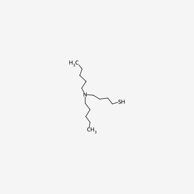 CCCCCN(CCCCC)CCCCS